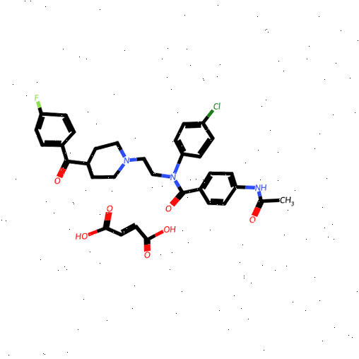 CC(=O)Nc1ccc(C(=O)N(CCN2CCC(C(=O)c3ccc(F)cc3)CC2)c2ccc(Cl)cc2)cc1.O=C(O)C=CC(=O)O